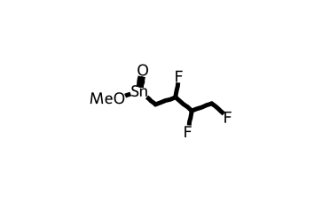 C[O][Sn](=[O])[CH2]C(F)C(F)CF